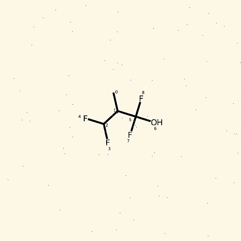 C[C](C(F)F)C(O)(F)F